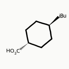 CCC(C)[C@H]1CC[C@H](C(=O)O)CC1